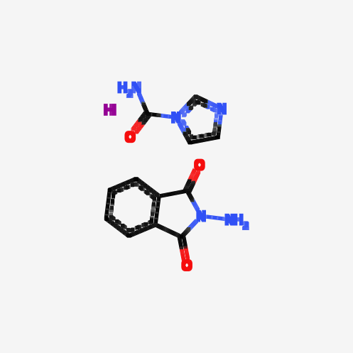 I.NC(=O)n1ccnc1.NN1C(=O)c2ccccc2C1=O